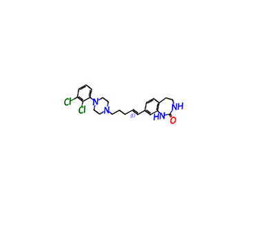 O=C1NCCc2ccc(/C=C/CCCN3CCN(c4cccc(Cl)c4Cl)CC3)cc2N1